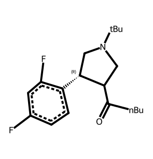 CCCCC(=O)C1CN(C(C)(C)C)C[C@H]1c1ccc(F)cc1F